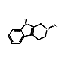 CC(=O)N1CCc2c([nH]c3cc[c]cc23)C1